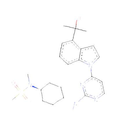 CN([C@H]1CC[C@H](Nc2nccc(-n3ccc4c(C(C)(C)O)cccc43)n2)CC1)S(C)(=O)=O